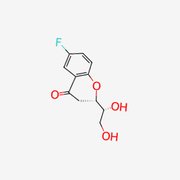 O=C1C[C@@H]([C@H](O)CO)Oc2ccc(F)cc21